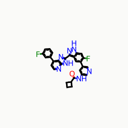 O=C(Nc1cncc(-c2cc3c(-c4nc5c(-c6cccc(F)c6)ccnc5[nH]4)n[nH]c3cc2F)c1)C1CCC1